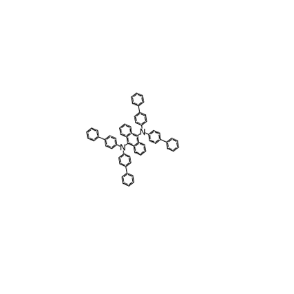 c1ccc(-c2ccc(N(c3ccc(-c4ccccc4)cc3)c3c4ccccc4c(N(c4ccc(-c5ccccc5)cc4)c4ccc(-c5ccccc5)cc4)c4ccccc34)cc2)cc1